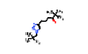 CC(C)(C)Cn1cc(CCCC(=O)C(C)(C)C)nn1